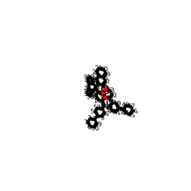 c1ccc(-c2ccc(N(c3ccc4c(c3)Oc3cc5ccccc5cc3C43c4ccccc4-c4ccccc43)c3ccc(-c4ccccc4)cc3-c3ccccc3)cc2)cc1